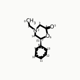 CCN1CC(=O)O[C@@H](c2ccccc2)C1